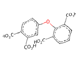 O=C(O)c1ccc(Oc2c(C(=O)O)cccc2C(=O)O)cc1C(=O)O